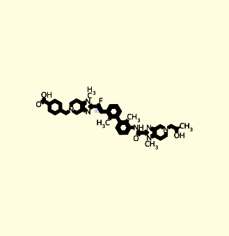 Cc1c(/C=C(\F)c2nc3c(n2C)CCN(CC2CCC(C(=O)O)CC2)C3)cccc1-c1cccc(NC(=O)c2nc3c(n2C)CCN(C[C@@H](C)O)C3)c1C